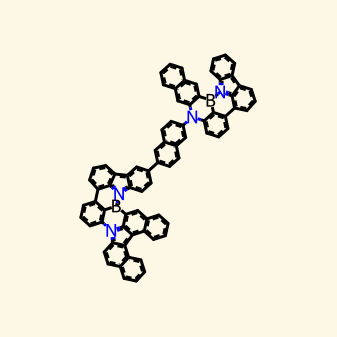 c1cc2c3c(c1)N(c1ccc4cc(-c5ccc6c(c5)c5cccc7c5n6B5c6c-7cccc6-n6c7ccc8ccccc8c7c7c8ccccc8cc5c76)ccc4c1)c1cc4ccccc4cc1B3n1c3ccccc3c3cccc-2c31